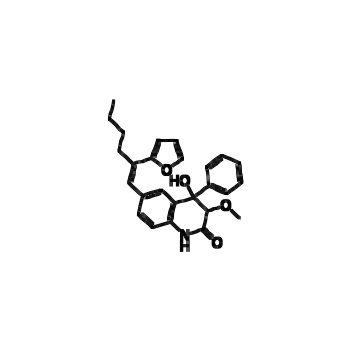 CCCCC(=Cc1ccc2c(c1)C(O)(c1ccccc1)C(OC)C(=O)N2)c1ccco1